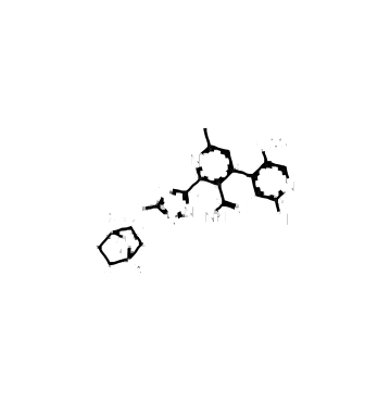 COc1cnc(Cl)cc1-c1cc(C)nc(-c2nnc(O[C@@H]3C[C@H]4CC[C@@H]3O4)s2)c1C(N)=O